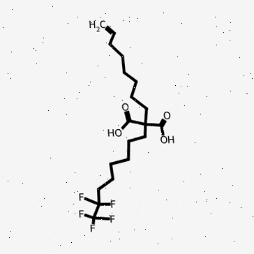 C=CCCCCCCC(CCCCCCC(F)(F)C(F)(F)F)(C(=O)O)C(=O)O